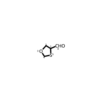 O=CC1COCS1